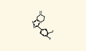 Fc1ccc(-c2nnc3n2CCNC3)cc1F